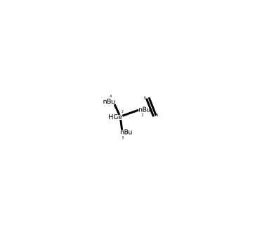 C=C.CCC[CH2][GeH]([CH2]CCC)[CH2]CCC